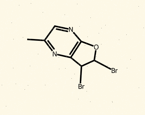 Cc1cnc2c(n1)C(Br)C(Br)O2